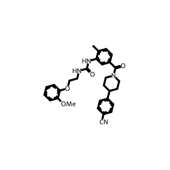 COc1ccccc1OCCNC(=O)Nc1cc(C(=O)N2CCC(c3ccc(C#N)cc3)CC2)ccc1C